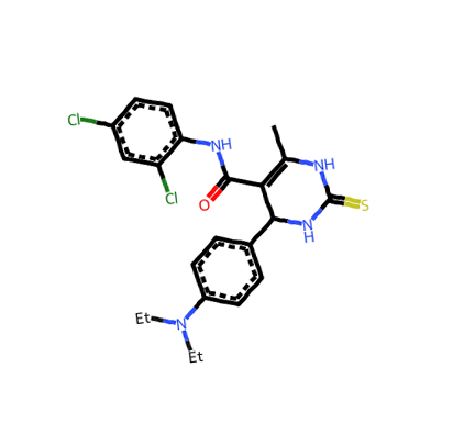 CCN(CC)c1ccc(C2NC(=S)NC(C)=C2C(=O)Nc2ccc(Cl)cc2Cl)cc1